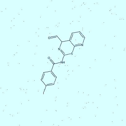 O=CC1N=C(NC(=O)c2ccc(I)cc2)Sc2ncccc21